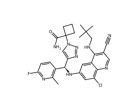 Cc1nc(F)ccc1[C@H](Nc1cc(Cl)c2ncc(C#N)c(NCC(C)(C)C)c2c1)c1cn(C2(C(N)=O)CCC2)nn1